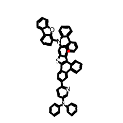 c1ccc(-c2ccccc2N(c2ccc3c(c2)sc2c4ccc(-c5ccc(N(c6ccccc6)c6ccccc6)cn5)cc4c4ccccc4c32)c2cccc3c2oc2ccccc23)cc1